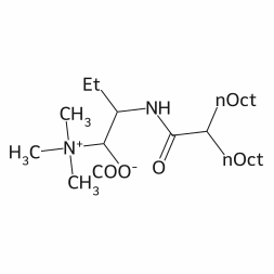 CCCCCCCCC(CCCCCCCC)C(=O)NC(CC)C(C(=O)[O-])[N+](C)(C)C